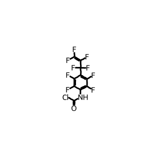 O=C(Cl)Nc1c(F)c(F)c(C(F)(F)C(F)=C(F)F)c(F)c1F